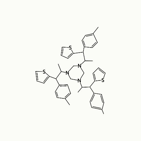 Cc1ccc(C(c2cccs2)C(C)N2CN(C(C)C(c3ccc(C)cc3)c3cccs3)CN(C(C)C(c3ccc(C)cc3)c3cccs3)C2)cc1